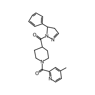 Cc1ccnc(C(=O)N2CCC(C(=O)N3N=CCC3c3ccccc3)CC2)c1